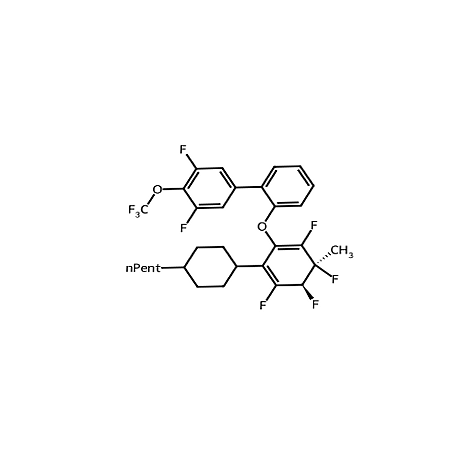 CCCCCC1CCC(C2=C(F)[C@H](F)[C@](C)(F)C(F)=C2Oc2ccccc2-c2cc(F)c(OC(F)(F)F)c(F)c2)CC1